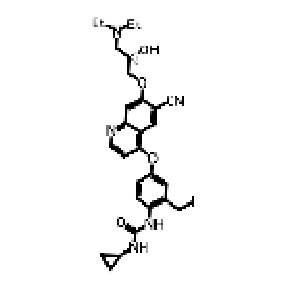 CCN(CC)C[C@H](O)COc1cc2nccc(Oc3ccc(NC(=O)NC4CC4)c(CI)c3)c2cc1C#N